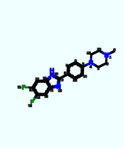 CN1CCN(c2ccc(-c3nc4cc(F)c(F)cc4[nH]3)cc2)CC1